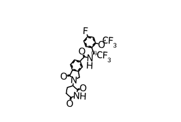 O=C1CCC(N2Cc3cc(C(=O)N[C@H](c4ccc(F)cc4OC(F)(F)F)C(F)(F)F)ccc3C2=O)C(=O)N1